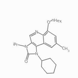 CCCCCCOc1cc(C)cc2c1ncc1c2n(C2CCCCC2)c(=O)n1C(C)C